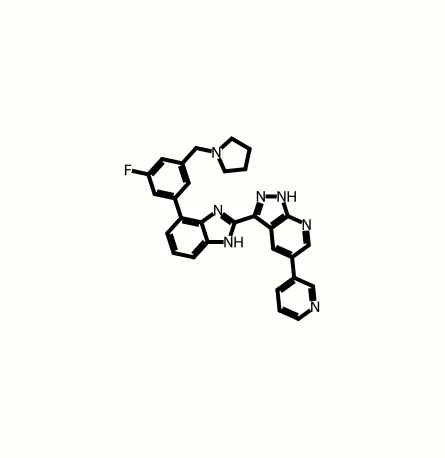 Fc1cc(CN2CCCC2)cc(-c2cccc3[nH]c(-c4n[nH]c5ncc(-c6cccnc6)cc45)nc23)c1